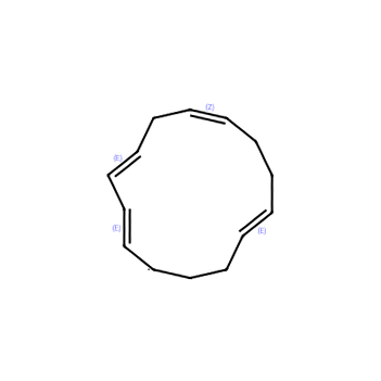 [CH]1/C=C/C=C/C/C=C\CC/C=C/CC1